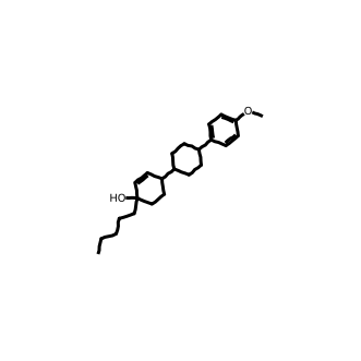 CCCCCC1(O)C=CC(C2CCC(c3ccc(OC)cc3)CC2)CC1